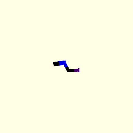 C=NCI